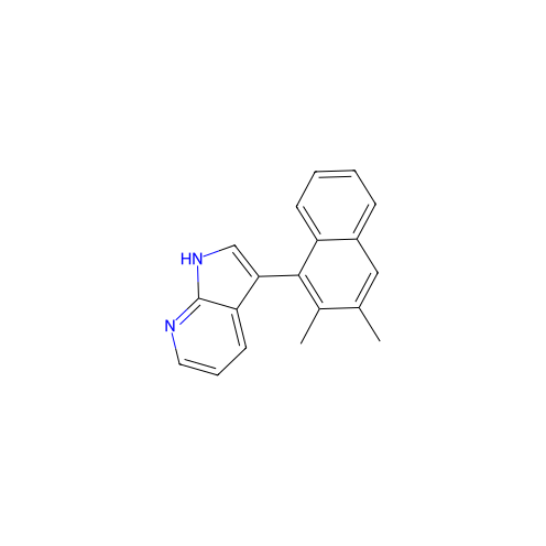 Cc1cc2ccccc2c(-c2c[nH]c3ncccc23)c1C